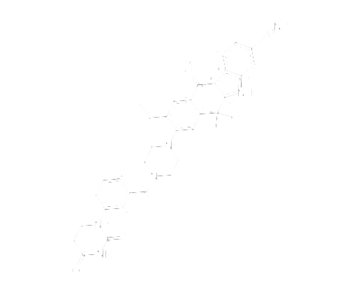 CCc1cc2c(cc1N1CCN(Cc3cccc(N4CCC(=O)NC4=O)c3)CC1)C(C)(C)c1[nH]c3cc(C#N)ccc3c1C2=O